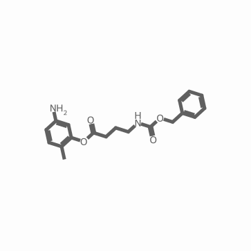 Cc1ccc(N)cc1OC(=O)CCCNC(=O)OCc1ccccc1